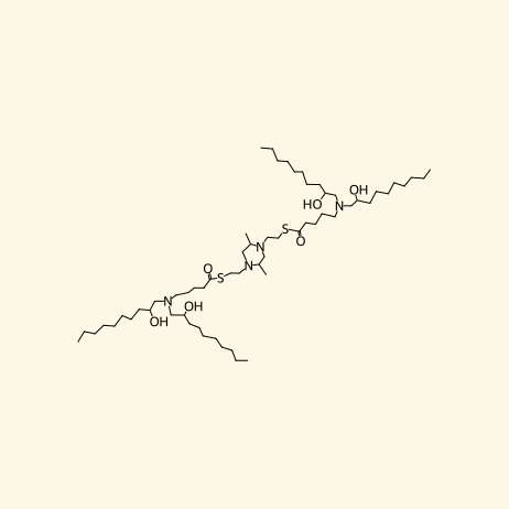 CCCCCCCCC(O)CN(CCCCC(=O)SCCN1CC(C)N(CCSC(=O)CCCCN(CC(O)CCCCCCCC)CC(O)CCCCCCCC)CC1C)CC(O)CCCCCCCC